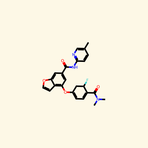 Cc1ccc(NC(=O)c2cc(OC3=CC=C(C(=O)N(C)C)C(F)C3)c3ccoc3c2)nc1